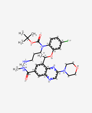 CNCCCN(C(=O)OC(C)(C)C)c1ccc(F)cc1OC(C)c1cc(C(=O)NC)cc2ncc(N3CCOCC3)nc12